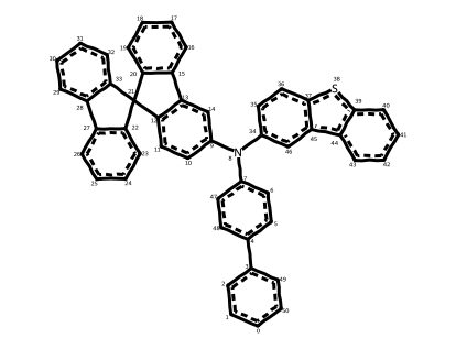 c1ccc(-c2ccc(N(c3ccc4c(c3)-c3ccccc3C43c4ccccc4-c4ccccc43)c3ccc4sc5ccccc5c4c3)cc2)cc1